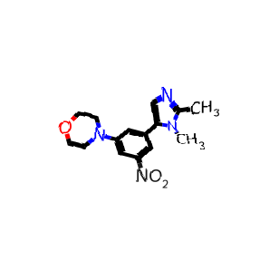 Cc1ncc(-c2cc(N3CCOCC3)cc([N+](=O)[O-])c2)n1C